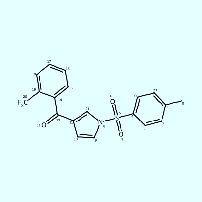 Cc1ccc(S(=O)(=O)n2ccc(C(=O)c3ccccc3C(F)(F)F)c2)cc1